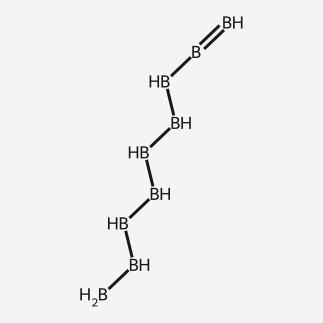 B=BBBBBBBB